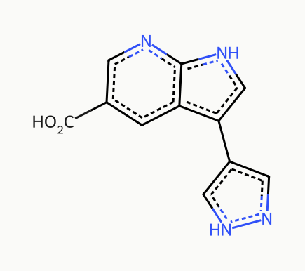 O=C(O)c1cnc2[nH]cc(-c3cn[nH]c3)c2c1